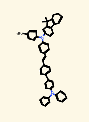 CC(C)(C)c1ccc(N(c2ccc(/C=C/c3ccc(-c4ccc(N(c5ccccc5)c5ccccc5)cc4)cc3)cc2)c2ccc3c(c2)C(C)(C)C2=C3C=CCC2)cc1